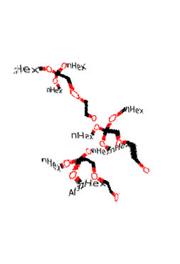 CCCCCCOC(COCC[O-])(OCCCCCC)OCCCCCC.CCCCCCOC(COCC[O-])(OCCCCCC)OCCCCCC.CCCCCCOC(COCC[O-])(OCCCCCC)OCCCCCC.[Al+3]